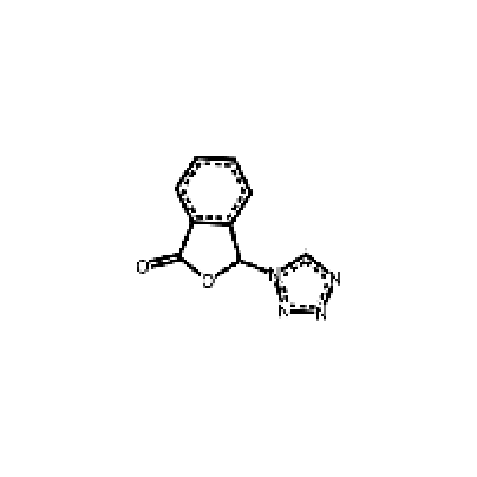 O=C1OC(n2[c]nnn2)c2ccccc21